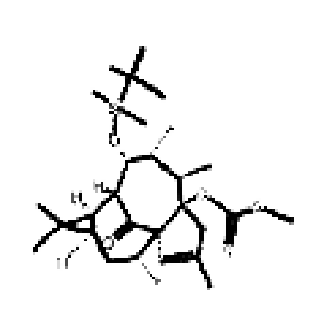 CSC(=S)O[C@@]12CC(C)=C[C@]13C(=O)[C@@H]([C@H](O[Si](C)(C)C(C)(C)C)[C@H](C)[C@H]2C)[C@H]1[C@@H](C[C@H]3C)C1(C)C